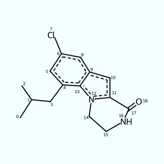 CC(C)Cc1cc(Cl)cc2cc3n(c12)CCNC3=O